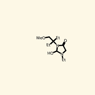 CCN1CC(=O)N(C(CC)(CC)COC)C1O